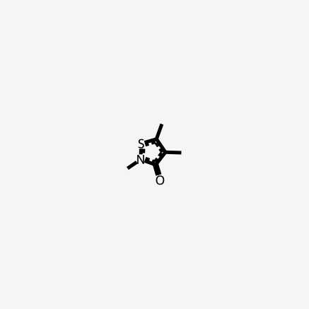 Cc1sn(C)c(=O)c1C